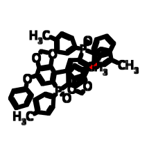 Cc1ccc(P(=O)(c2ccc(C)cc2)c2cc(-c3c(P(=O)(c4ccc(C)cc4)c4ccc(C)cc4)cc(Oc4ccccc4)c4c3OCO4)c3c(c2Oc2ccccc2)OCO3)cc1